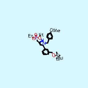 CCOP(=O)(Cc1cc(-c2cccc(CO[Si](C)(C)C(C)(C)C)c2)n(Cc2ccc(OC)cc2)n1)OCC